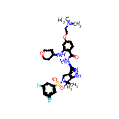 CN(C)CCOc1ccc(C(=O)Nc2n[nH]c3c2CN(S(=O)(=O)c2cc(F)cc(F)c2)C3(C)C)c(NC2CCOCC2)c1